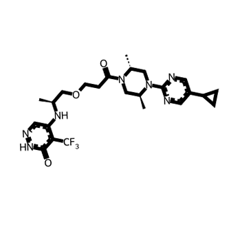 C[C@@H]1CN(c2ncc(C3CC3)cn2)[C@@H](C)CN1C(=O)CCOC[C@H](C)Nc1cn[nH]c(=O)c1C(F)(F)F